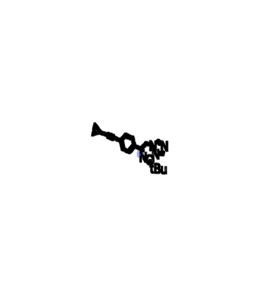 CC(C)(C)O/N=C(\Cn1cncn1)c1ccc(C#CC2CC2)cc1